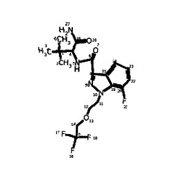 CC(C)(C)C(NC(=O)c1nn(CCOCC(F)(F)F)c2c(F)cccc12)C(N)=O